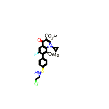 COc1c(-c2ccc(SNCCCl)cc2)c(F)cc2c(=O)c(C(=O)O)cn(C3CC3)c12